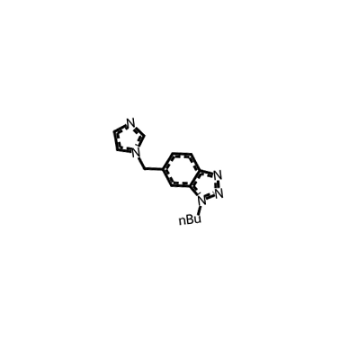 CCCCn1nnc2ccc(Cn3ccnc3)cc21